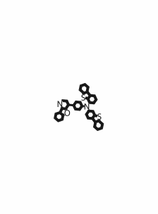 c1ccc2c(c1)oc1c(-c3ccc(N(c4ccc5c(c4)sc4ccccc45)c4cccc5c4sc4ccccc45)cc3)ccnc12